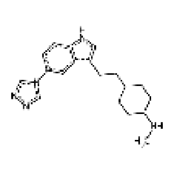 CNC1CCC(CCc2c[nH]c3ccc(-n4cnnc4)cc23)CC1